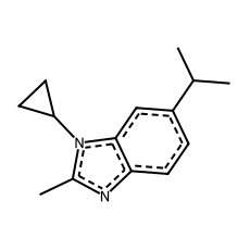 Cc1nc2ccc(C(C)C)cc2n1C1CC1